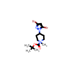 CC(C)(C)OC(=O)[N+]1(C)CCC(n2nc(Br)cc2Br)CC1